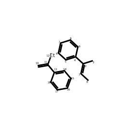 C/C=C(\C)c1ccccc1.C=C(CC)c1ccccc1